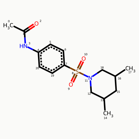 CC(=O)Nc1ccc(S(=O)(=O)N2CC(C)CC(C)C2)cc1